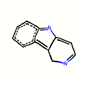 C1=NCC2=c3ccccc3=NC2=C1